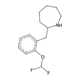 FC(F)Oc1ccccc1CC1CCCCCN1